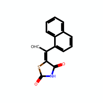 O=CC(=C1SC(=O)NC1=O)c1cccc2ccccc12